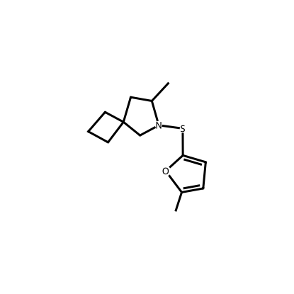 Cc1ccc(SN2CC3(CCC3)CC2C)o1